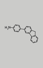 Nc1ccc(-c2ccc3c(c2)-c2ccccc2C3)cc1